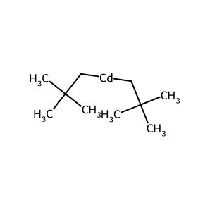 CC(C)(C)[CH2][Cd][CH2]C(C)(C)C